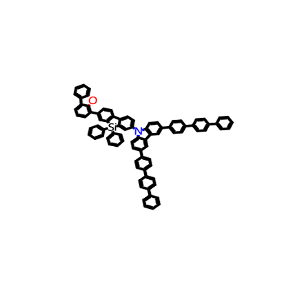 c1ccc(-c2ccc(-c3ccc(-c4ccc5c(c4)c4cc(-c6ccc(-c7ccc(-c8ccccc8)cc7)cc6)ccc4n5-c4ccc5c(c4)[Si](c4ccccc4)(c4ccccc4)c4cc(-c6cccc7c6oc6ccccc67)ccc4-5)cc3)cc2)cc1